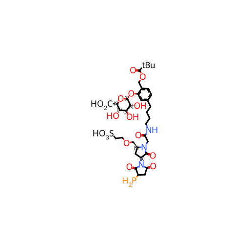 CC(C)(C)C(=O)OCc1ccc(CCCCNC(=O)CN2C(=O)[C@@H](N3C(=O)CC(P)C3=O)C[C@H]2COCCS(=O)(=O)O)cc1O[C@@H]1O[C@H](C(=O)O)[C@@H](O)[C@H](O)[C@H]1O